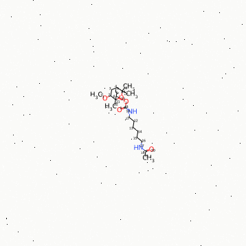 COC1CC2CC(OC(=O)NCCCCCCNC(C)=O)C1(C)OC2(C)C